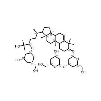 C[C@H](CC[C@@H](O[C@H]1C[C@@H](O)C[C@@H](CO)O1)C(C)(C)O)C1CC[C@@]2(C)C3CC=C4C(CC[C@H](O[C@H]5C[C@@H](O[C@H]6C[C@@H](O)C[C@@H](CO)O6)C[C@@H](CO)O5)C4(C)C)[C@]3(C)CC[C@]12C